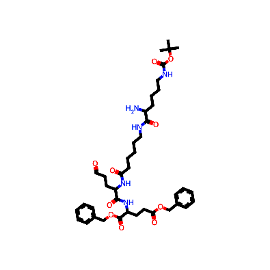 CC(C)(C)OC(=O)NCCCCC(N)C(=O)NCCCCCC(=O)NC(CCC=O)C(=O)NC(CCC(=O)OCc1ccccc1)C(=O)OCc1ccccc1